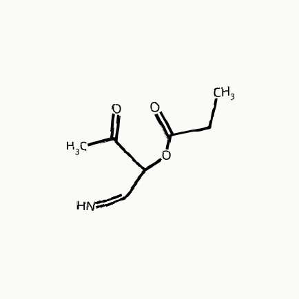 CCC(=O)OC(C=N)C(C)=O